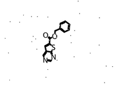 O=C(OCc1ccccc1)c1cc2cncnc2s1